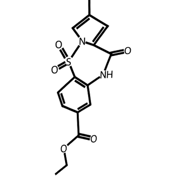 CCOC(=O)c1ccc2c(c1)NC(=O)c1cc(C)cn1S2(=O)=O